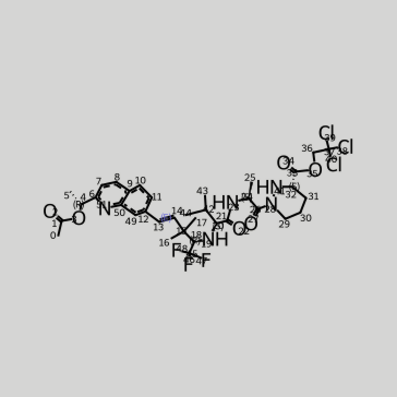 CC(=O)O[C@H](C)c1ccc2ccc(/C=C/C(C)(C)[C@@H](N[C@H](C(=O)N[C@@H](C)C(=O)N3CCC[C@@H](C(=O)OCC(Cl)(Cl)Cl)N3)C(C)C)C(F)(F)F)cc2n1